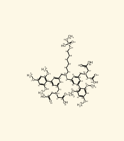 COc1cc(OC)c(-c2cc(CN(CC(=O)O)CC(=O)O)nc(CN(CCCCCCOP(=O)(O)OC)Cc3cc(-c4c(OC)cc(OC)cc4OC)cc(CN(CC(=O)O)CC(=O)O)n3)c2)c(OC)c1